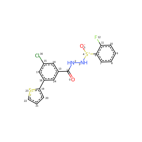 O=C(NN[S+]([O-])c1ccccc1F)c1cc(Cl)cc(-c2cccs2)c1